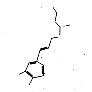 O=C(O)CC[C@H](NC/C=C/c1ccc(O)c(O)c1)C(=O)O